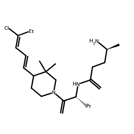 C=C(CC[C@H](C)N)N[C@@H](C(=C)N1CCC(/C=C/C=C(/Cl)CC)C(C)(C)C1)C(C)C